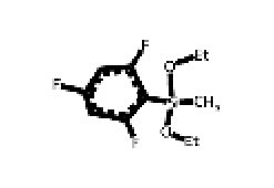 CCO[Si](C)(OCC)c1c(F)cc(F)cc1F